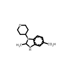 CC1Nc2cc(C(=O)O)ccc2N1C1CCOCC1